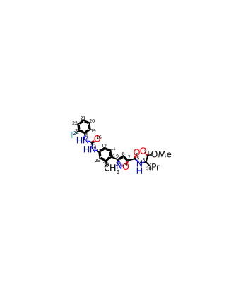 COC(=O)C(NC(=O)c1cc(-c2ccc(NC(=O)Nc3ccccc3F)cc2C)no1)C(C)C